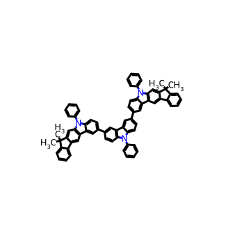 CC1(C)c2ccccc2-c2cc3c4cc(-c5ccc6c(c5)c5cc(-c7ccc8c(c7)c7cc9c(cc7n8-c7ccccc7)C(C)(C)c7ccccc7-9)ccc5n6-c5ccccc5)ccc4n(-c4ccccc4)c3cc21